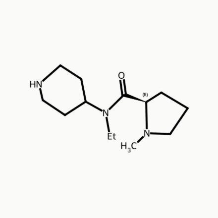 CCN(C(=O)[C@H]1CCCN1C)C1CCNCC1